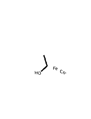 CCO.[Co].[Fe]